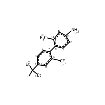 CCC(C)(CC)c1ccc(-c2ccc(N)cc2C(F)(F)F)c(C(F)(F)F)c1